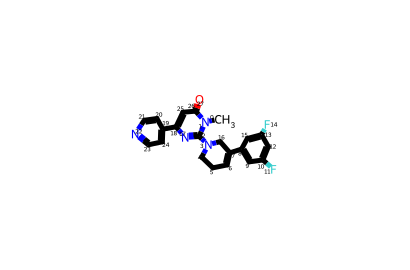 Cn1c(N2CCC=C(c3cc(F)cc(F)c3)C2)nc(-c2ccncc2)cc1=O